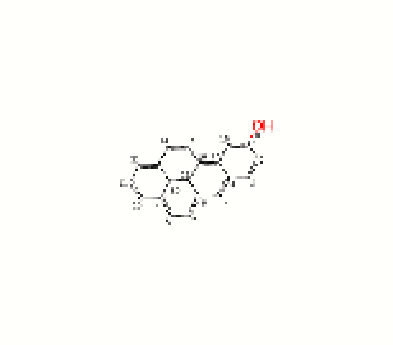 Oc1ccc2cc3ccc4cccc5ccc(c2c1)c3c45